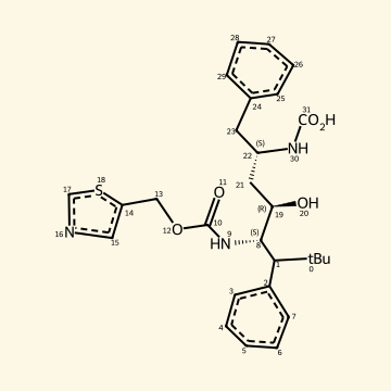 CC(C)(C)C(c1ccccc1)[C@H](NC(=O)OCc1cncs1)[C@H](O)C[C@H](Cc1ccccc1)NC(=O)O